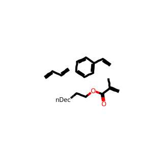 C=C(C)C(=O)OCCCCCCCCCCCC.C=CC=C.C=Cc1ccccc1